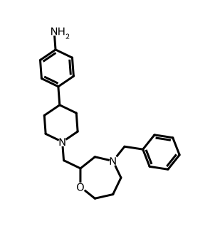 Nc1ccc(C2CCN(CC3CN(Cc4ccccc4)CCCO3)CC2)cc1